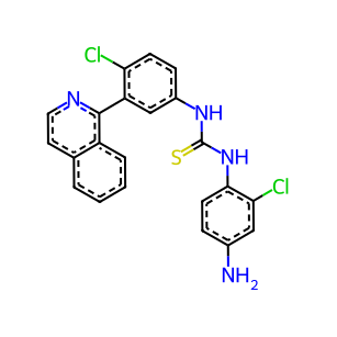 Nc1ccc(NC(=S)Nc2ccc(Cl)c(-c3nccc4ccccc34)c2)c(Cl)c1